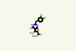 COC(=O)c1sc2nc(Cc3ccc(Cl)c(Cl)c3)[nH]c(=O)c2c1C